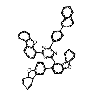 C1=CC2Oc3ccc(-c4ccc5oc6ccccc6c5c4-c4nc(-c5ccc(-c6ccc7ccccc7c6)cc5)nc(-c5cccc6c5oc5ccccc56)n4)cc3C2C=C1